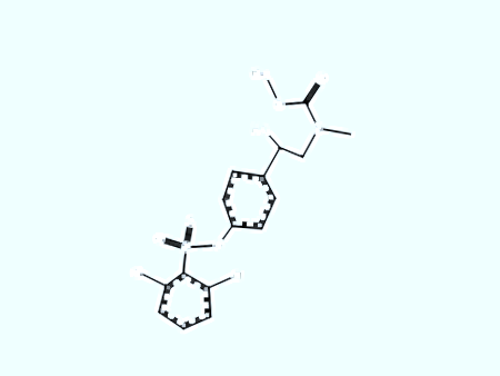 CN(CC(O)c1ccc(OS(=O)(=O)c2c(Cl)cccc2Cl)cc1)C(=O)OC(C)(C)C